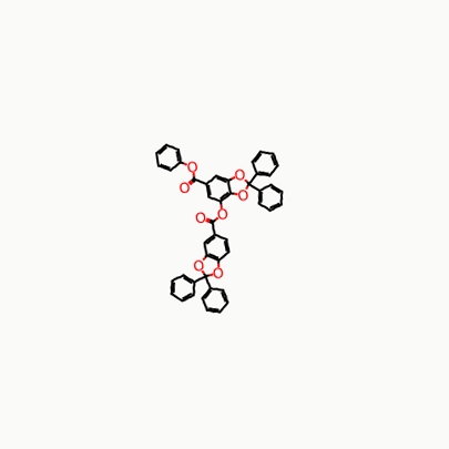 O=C(Oc1ccccc1)c1cc(OC(=O)c2ccc3c(c2)OC(c2ccccc2)(c2ccccc2)O3)c2c(c1)OC(c1ccccc1)(c1ccccc1)O2